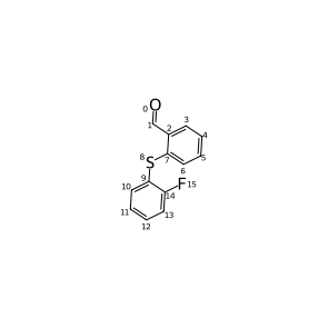 O=Cc1ccccc1Sc1ccccc1F